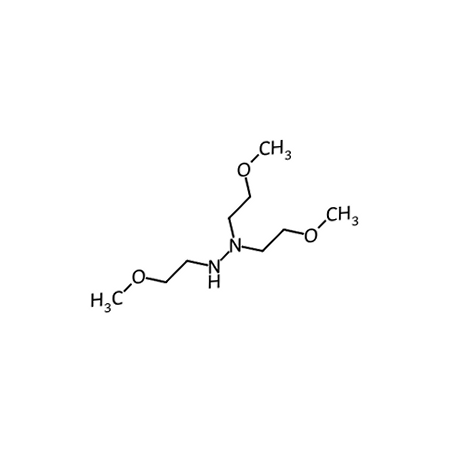 COCCNN(CCOC)CCOC